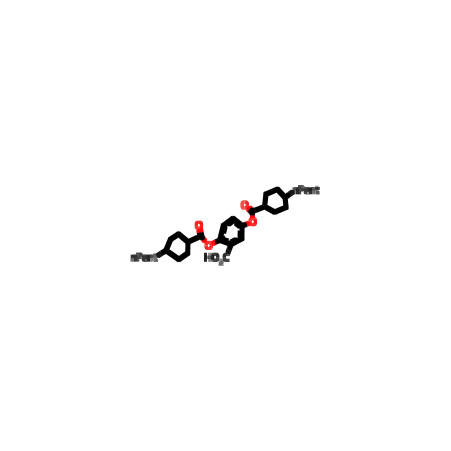 CCCCCC1CCC(C(=O)Oc2ccc(OC(=O)C3CCC(CCCCC)CC3)c(C(=O)O)c2)CC1